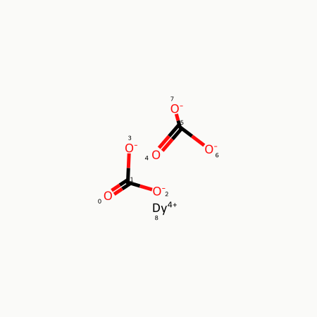 O=C([O-])[O-].O=C([O-])[O-].[Dy+4]